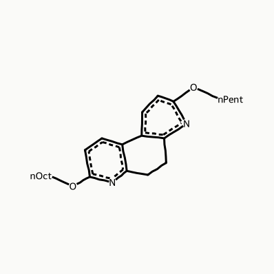 CCCCCCCCOc1ccc2c(n1)CCc1nc(OCCCCC)ccc1-2